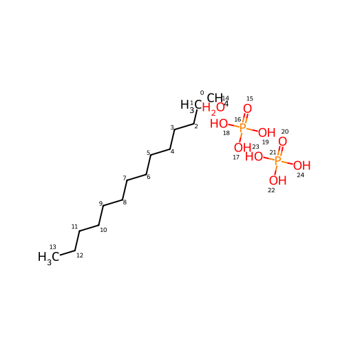 C.CCCCCCCCCCCCC.O.O=P(O)(O)O.O=P(O)(O)O